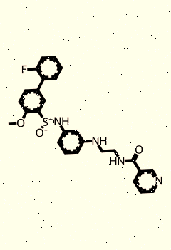 COc1ccc(-c2ccccc2F)cc1[S+]([O-])Nc1cccc(NCCNC(=O)c2cccnc2)c1